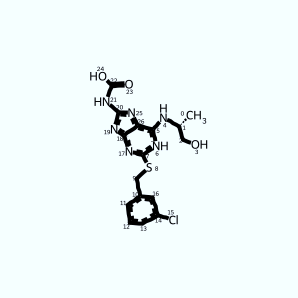 C[C@H](CO)Nc1[nH]c(SCc2cccc(Cl)c2)nc2nc(NC(=O)O)nc1-2